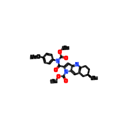 COc1ccc(N(C(=O)OC(C)(C)C)C(=O)c2cc3nc4c(cc3n2C(=O)OC(C)(C)C)C[C@H](C(C)(C)C)CC4)cc1